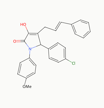 COc1ccc(N2C(=O)C(O)=C(CC=Cc3ccccc3)C2c2ccc(Cl)cc2)cc1